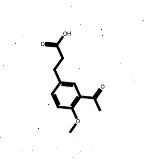 COc1ccc(CCC(=O)O)cc1C(C)=O